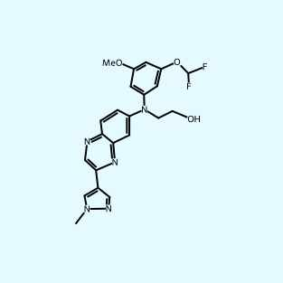 COc1cc(OC(F)F)cc(N(CCO)c2ccc3ncc(-c4cnn(C)c4)nc3c2)c1